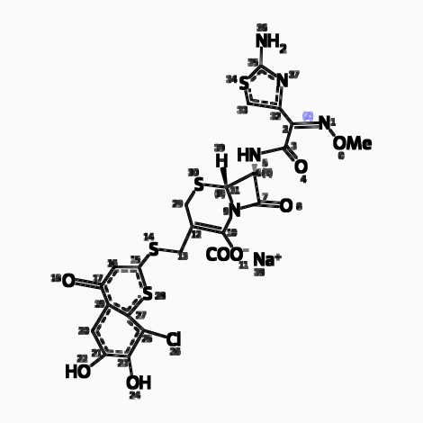 CO/N=C(\C(=O)N[C@@H]1C(=O)N2C(C(=O)[O-])=C(CSc3cc(=O)c4cc(O)c(O)c(Cl)c4s3)CS[C@H]12)c1csc(N)n1.[Na+]